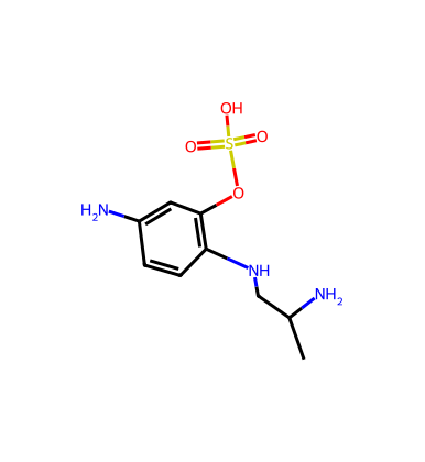 CC(N)CNc1ccc(N)cc1OS(=O)(=O)O